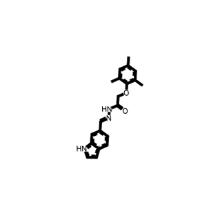 Cc1cc(C)c(OCC(=O)N/N=C/c2ccc3cc[nH]c3c2)c(C)c1